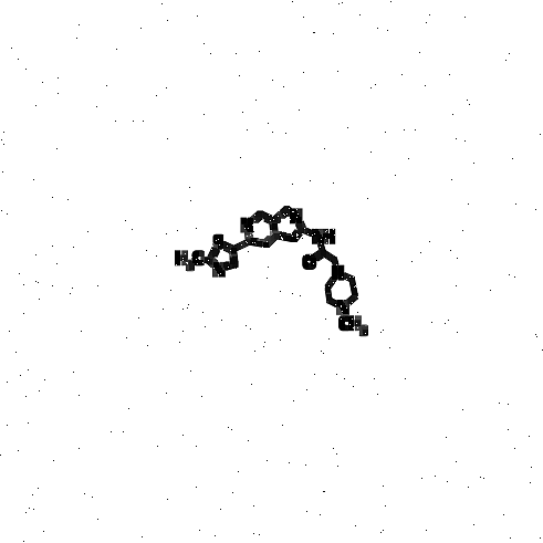 Cc1ncc(-c2cc3cc(NC(=O)CN4CCN(C)CC4)ncc3cn2)s1